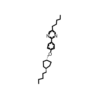 CCCCCc1cnc(-c2ccc(OC[C@H]3CC[C@H](CCCCC)CC3)cc2)nc1